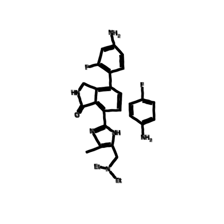 CCN(CC)Cc1[nH]c(-c2ccc(-c3ccc(N)cc3F)c3c2C(=O)NC3)nc1C.Nc1ccc(F)cc1